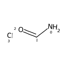 NC=O.[C]